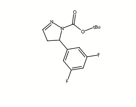 CC(C)(C)OC(=O)N1N=CCC1c1cc(F)cc(F)c1